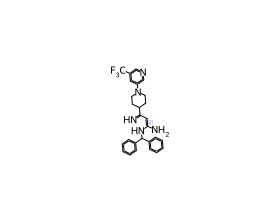 N=C(/C=C(/N)NC(c1ccccc1)c1ccccc1)C1CCN(c2cncc(C(F)(F)F)c2)CC1